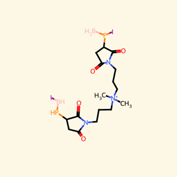 BP(I)C1CC(=O)N(CCC[N+](C)(C)CCCN2C(=O)CC(PBI)C2=O)C1=O